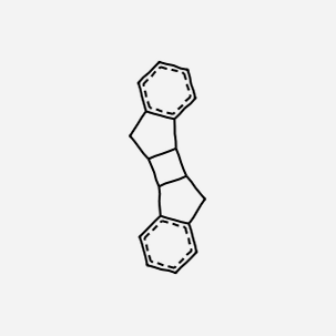 c1ccc2c(c1)CC1C2C2Cc3ccccc3C12